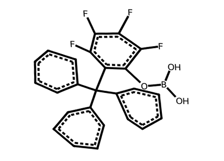 OB(O)Oc1c(F)c(F)c(F)c(F)c1C(c1ccccc1)(c1ccccc1)c1ccccc1